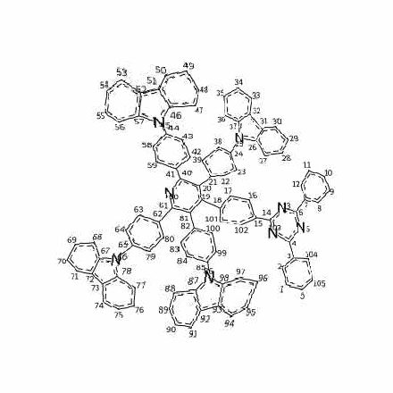 c1ccc(-c2nc(-c3ccccc3)nc(-c3ccc(-c4c(-c5ccc(-n6c7ccccc7c7ccccc76)cc5)c(-c5ccc(-n6c7ccccc7c7ccccc76)cc5)nc(-c5ccc(-n6c7ccccc7c7ccccc76)cc5)c4-c4ccc(-n5c6ccccc6c6ccccc65)cc4)cc3)n2)cc1